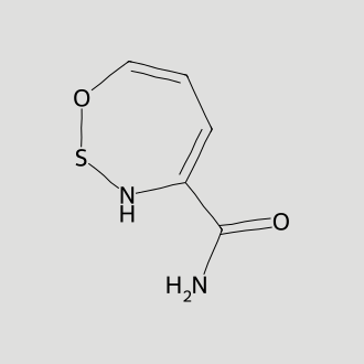 NC(=O)c1cccos[nH]1